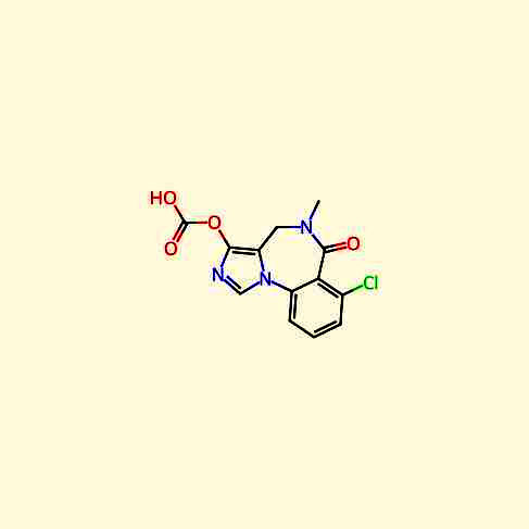 CN1Cc2c(OC(=O)O)ncn2-c2cccc(Cl)c2C1=O